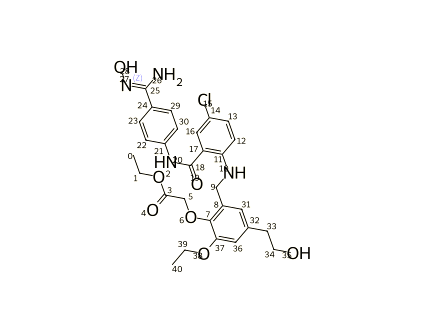 CCOC(=O)COc1c(CNc2ccc(Cl)cc2C(=O)Nc2ccc(/C(N)=N/O)cc2)cc(CCO)cc1OCC